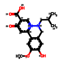 COc1cc2c(cc1O)CN(CC(C)C)n1cc(C(=O)O)c(=O)cc1-2